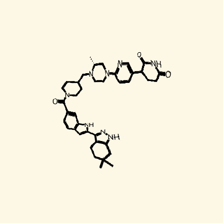 C[C@@H]1CN(c2ccc(C3CCC(=O)NC3=O)cn2)CCN1CC1CCN(C(=O)c2ccc3cc(-c4n[nH]c5c4CCC(C)(C)C5)[nH]c3c2)CC1